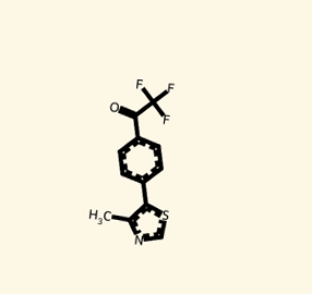 Cc1ncsc1-c1ccc(C(=O)C(F)(F)F)cc1